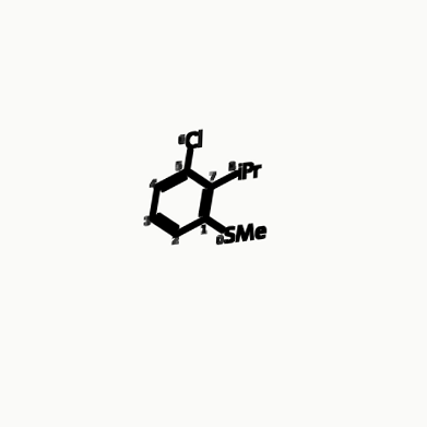 CSc1cccc(Cl)c1C(C)C